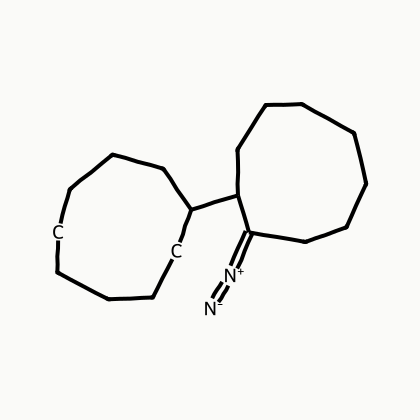 [N-]=[N+]=C1CCCCCCCC1C1CCCCCCCC1